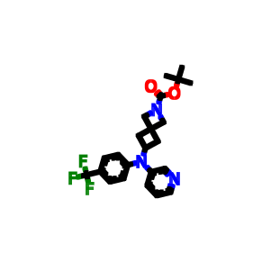 CC(C)(C)OC(=O)N1CC2(CC(N(c3ccc(C(F)(F)F)cc3)c3cccnc3)C2)C1